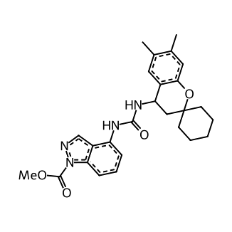 COC(=O)n1ncc2c(NC(=O)NC3CC4(CCCCC4)Oc4cc(C)c(C)cc43)cccc21